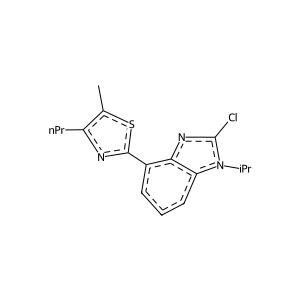 CCCc1nc(-c2cccc3c2nc(Cl)n3C(C)C)sc1C